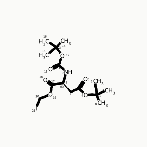 CC(C)(C)OC(=O)C[C@H](NC(=O)OC(C)(C)C)C(=O)OCI